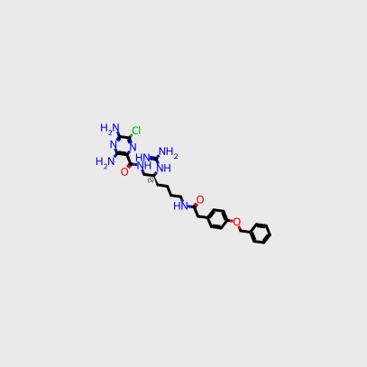 N=C(N)N[C@@H](CCCCNC(=O)Cc1ccc(OCc2ccccc2)cc1)CNC(=O)c1nc(Cl)c(N)nc1N